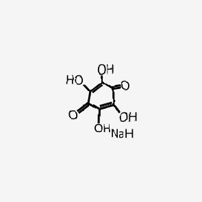 O=C1C(O)=C(O)C(=O)C(O)=C1O.[NaH]